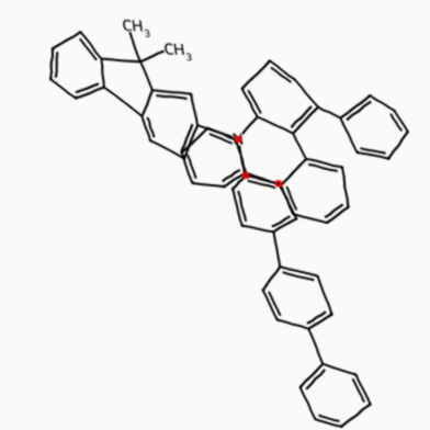 CC1(C)c2ccccc2-c2ccc(N(c3ccc(-c4ccc(-c5ccccc5)cc4)cc3)c3cccc(-c4ccccc4)c3-c3ccccc3-c3ccccc3)cc21